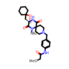 CCCCN1C(=O)[C@@H](CC2(O)CCCCC2)NC(=O)C12CCN(Cc1ccc(NC(=O)COC)cc1)CC2